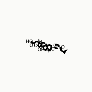 C[C@@H]1CC(C(=O)O)OC2[C@H]1[C@@]1(C)CC[C@@]34C[C@@]35CC[C@H](OC3CN(C(=O)CC6CC6)CCO3)C(C)(C)[C@@H]5CCC4[C@]1(C)[C@H]2O